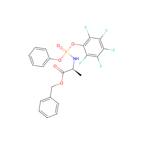 C[C@H](NP(=O)(Oc1ccccc1)Oc1c(F)c(F)c(F)c(F)c1F)C(=O)OCc1ccccc1